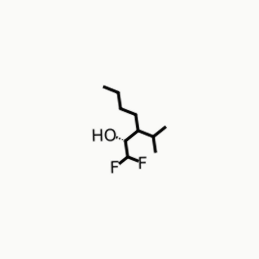 CCCCC(C(C)C)[C@@H](O)C(F)F